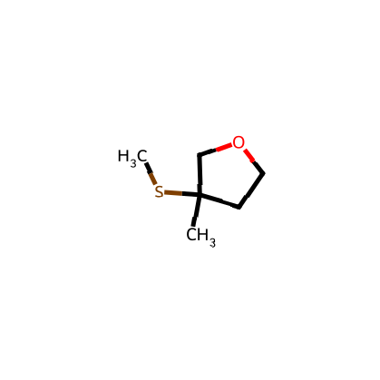 CSC1(C)CCOC1